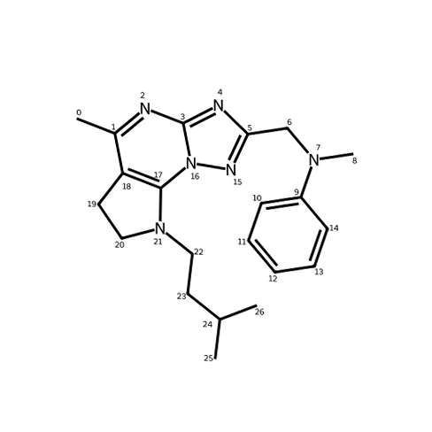 Cc1nc2nc(CN(C)c3ccccc3)nn2c2c1CCN2CCC(C)C